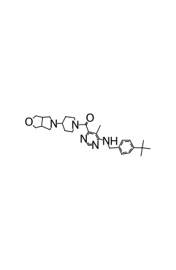 Cc1c(NCc2ccc(C(C)(C)C)cc2)ncnc1C(=O)N1CCC(N2CC3COCC3C2)CC1